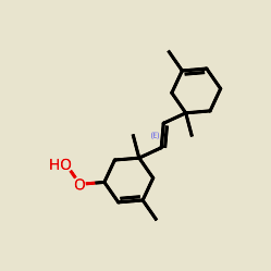 CC1=CCCC(C)(/C=C/C2(C)CC(C)=CC(OO)C2)C1